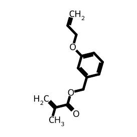 C=CCOc1cccc(COC(=O)C(=C)C)c1